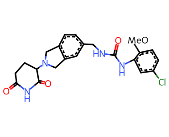 COc1ccc(Cl)cc1NC(=O)NCc1ccc2c(c1)CN(C1CCC(=O)NC1=O)C2